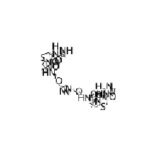 CN[C@@H](C)C(=O)N[C@H]1CCSC2CC(C)(C)[C@@H](C(=O)NCCOCc3cn(CCOCCNC(=O)[C@H]4N5C(=O)[C@@H](NC(=O)[C@H](C)N)CCSC5CC4(C)C)nn3)N2C1=O